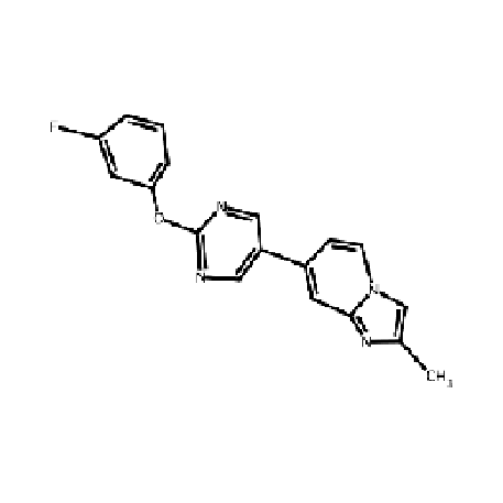 Cc1cn2ccc(-c3cnc(Oc4cccc(F)c4)nc3)cc2n1